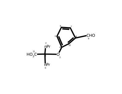 CCCC(CCC)(Oc1cccc(C=O)c1)C(=O)O